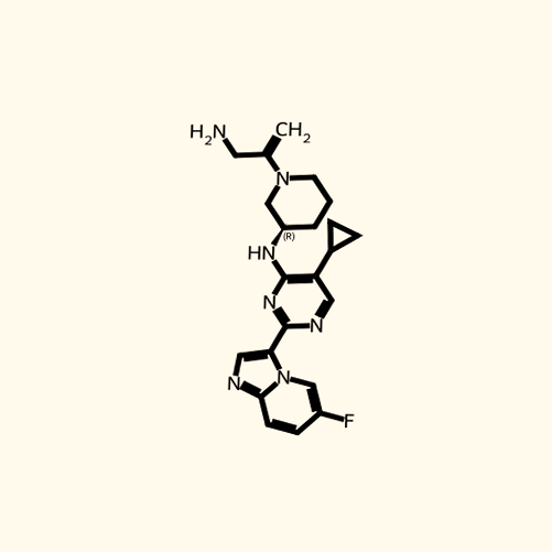 C=C(CN)N1CCC[C@@H](Nc2nc(-c3cnc4ccc(F)cn34)ncc2C2CC2)C1